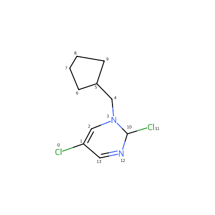 ClC1=CN(CC2CCCC2)C(Cl)N=C1